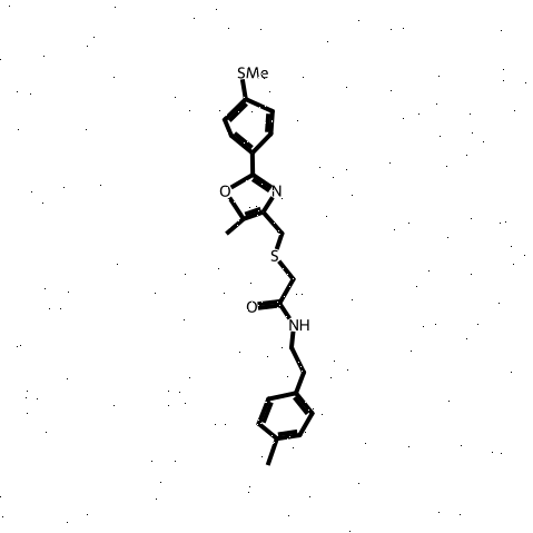 CSc1ccc(-c2nc(CSCC(=O)NCCc3ccc(C)cc3)c(C)o2)cc1